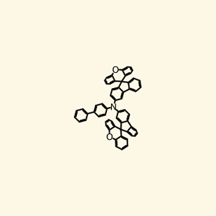 c1ccc(-c2ccc(N(c3ccc4c(c3)-c3ccccc3C43c4ccccc4Oc4ccccc43)c3ccc4c(c3)C3(c5ccccc5Oc5ccccc53)c3ccccc3-4)cc2)cc1